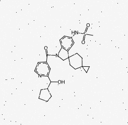 CS(=O)(=O)Nc1ccc2c(c1)C1(CCC3(CC3)CC1)CN2C(=O)c1ccnc(C(O)C2CCCC2)c1